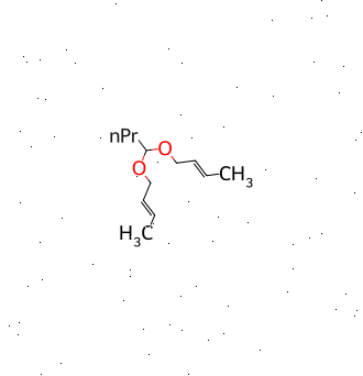 CC=CCOC(CCC)OCC=CC